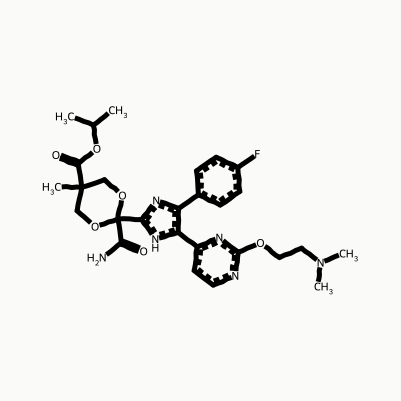 CC(C)OC(=O)C1(C)COC(C(N)=O)(c2nc(-c3ccc(F)cc3)c(-c3ccnc(OCCN(C)C)n3)[nH]2)OC1